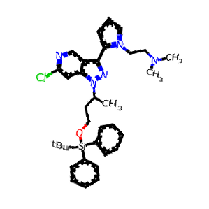 CC(CCO[Si](c1ccccc1)(c1ccccc1)C(C)(C)C)n1nc(-c2cccn2CCN(C)C)c2cnc(Cl)cc21